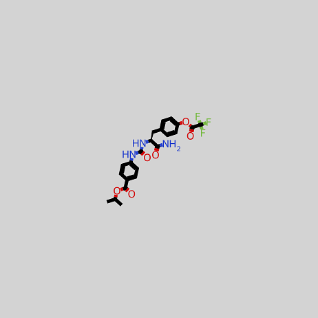 CC(C)OC(=O)c1ccc(NC(=O)N[C@@H](Cc2ccc(OC(=O)C(F)(F)F)cc2)C(N)=O)cc1